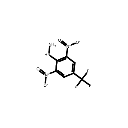 NNc1c([N+](=O)[O-])cc(C(F)(F)F)cc1[N+](=O)[O-]